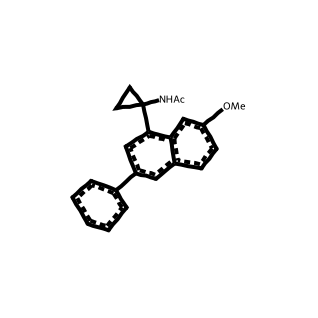 COc1ccc2cc(-c3ccccc3)cc(C3(NC(C)=O)CC3)c2c1